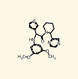 COc1cc(NC(C(=O)N2CCCCC2c2cnccn2)c2ccsc2)cc(OC)c1